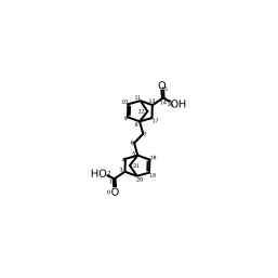 O=C(O)C1CC2(CCC34C=CC(C3)C(C(=O)O)C4)C=CC1C2